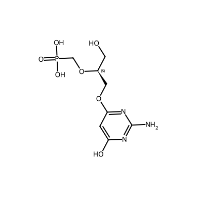 Nc1nc(O)cc(OC[C@H](CO)OCP(=O)(O)O)n1